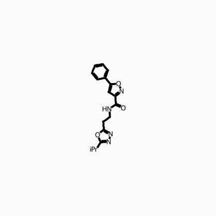 CC(C)c1nnc(CCNC(=O)c2cc(-c3ccccc3)on2)o1